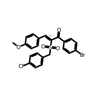 COc1ccc(/C=C(/C(=O)c2ccc(Br)cc2)S(=O)(=O)Cc2ccc(Cl)cc2)cc1